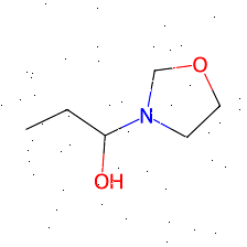 CCC(O)N1CCOC1